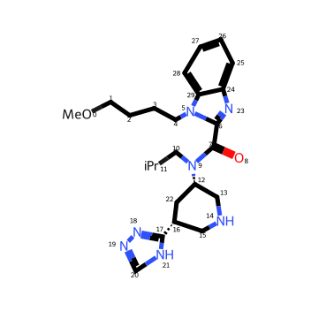 COCCCCn1c(C(=O)N(CC(C)C)[C@@H]2CNC[C@H](c3nnc[nH]3)C2)nc2ccccc21